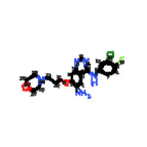 Nc1cc2c(Nc3ccc(F)c(Cl)c3)ncnc2cc1OCCCN1CCOCC1